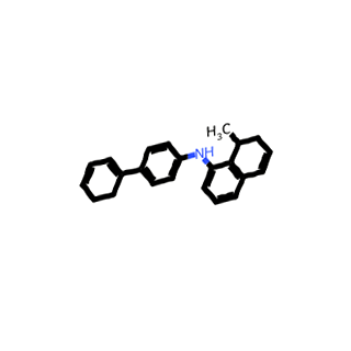 CC1CC=Cc2cccc(Nc3ccc(C4=CC=CCC4)cc3)c21